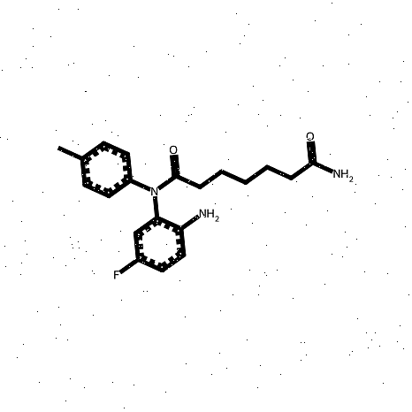 Cc1ccc(N(C(=O)CCCCCC(N)=O)c2cc(F)ccc2N)cc1